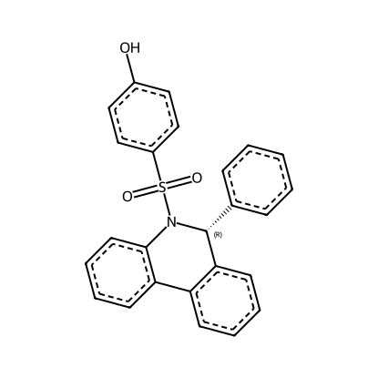 O=S(=O)(c1ccc(O)cc1)N1c2ccccc2-c2ccccc2[C@H]1c1ccccc1